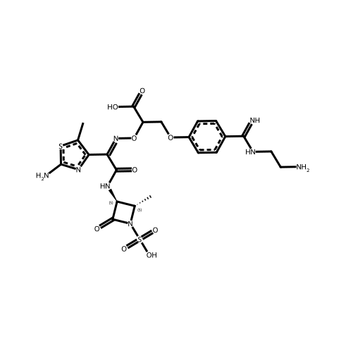 Cc1sc(N)nc1C(=NOC(COc1ccc(C(=N)NCCN)cc1)C(=O)O)C(=O)N[C@@H]1C(=O)N(S(=O)(=O)O)[C@H]1C